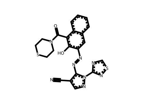 N#Cc1cnn(-c2ncsn2)c1/N=N/c1cc2ccccc2c(C(=O)N2CCSCC2)c1O